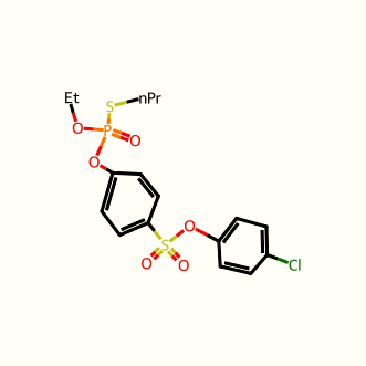 CCCSP(=O)(OCC)Oc1ccc(S(=O)(=O)Oc2ccc(Cl)cc2)cc1